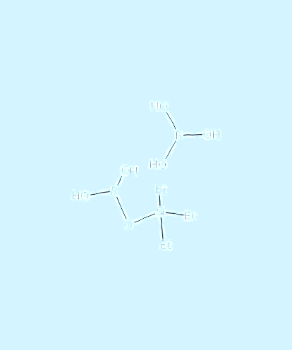 CC[Si](CC)(CC)OB(O)O.OB(O)O